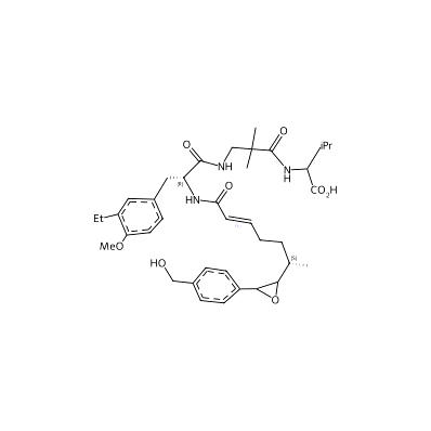 CCc1cc(C[C@@H](NC(=O)/C=C/CC[C@H](C)C2OC2c2ccc(CO)cc2)C(=O)NCC(C)(C)C(=O)NC(C(=O)O)C(C)C)ccc1OC